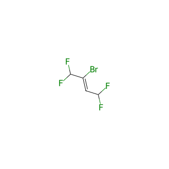 FC(F)C=C(Br)C(F)F